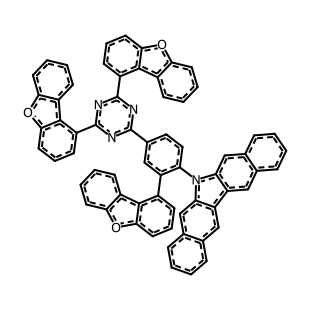 c1ccc2cc3c(cc2c1)c1cc2ccccc2cc1n3-c1ccc(-c2nc(-c3cccc4oc5ccccc5c34)nc(-c3cccc4oc5ccccc5c34)n2)cc1-c1cccc2oc3ccccc3c12